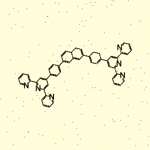 C1=CC2CC=C(C3=CC=C(c4cc(-c5ccccn5)nc(-c5ccccn5)c4)CC3)C=C2C=C1c1ccc(-c2cc(-c3ccccn3)nc(-c3ccccn3)c2)cc1